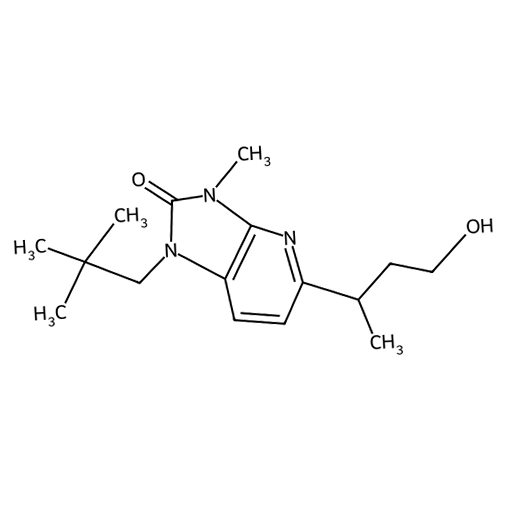 CC(CCO)c1ccc2c(n1)n(C)c(=O)n2CC(C)(C)C